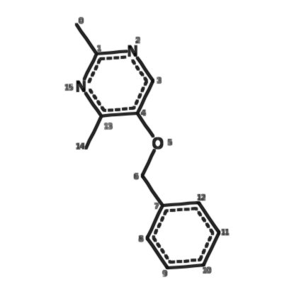 Cc1ncc(OCc2ccccc2)c(C)n1